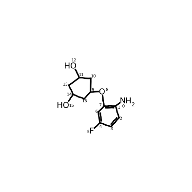 Nc1ccc(F)cc1OC1CC(O)CC(O)C1